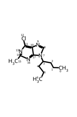 CCCC(CCC)n1cnc2c(Cl)nc(C)nc21